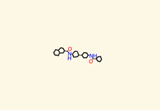 O=C(Nc1ccc(-c2ccc(NC(=O)c3ccc4ccccc4c3)cc2)cc1)c1ccccc1